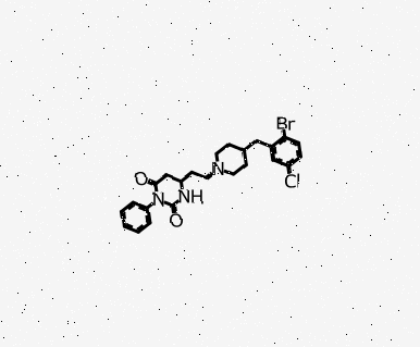 O=C1CC(CCN2CCC(Cc3cc(Cl)ccc3Br)CC2)NC(=O)N1c1ccccc1